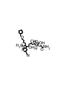 C[C@H](CC(=O)N[C@@H](CCC(N)=O)C(=O)O)CC(O)c1c(CCCCOCc2ccccc2)n(C)c2ncc(C#N)cc12